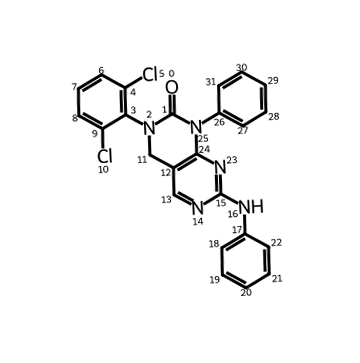 O=C1N(c2c(Cl)cccc2Cl)Cc2cnc(Nc3ccccc3)nc2N1c1ccccc1